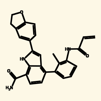 C=CC(=O)Nc1cccc(-c2ccc(C(N)=O)c3[nH]c(-c4ccc5c(c4)CCO5)cc23)c1C